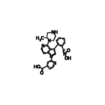 CC1CNCCN1c1nccc2c1c(-c1ccccc1F)cn2-c1cc(C(=O)O)ccn1.O=NO